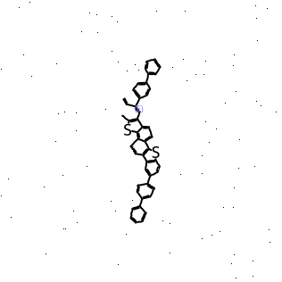 C=C/C(=C\c1c(C)sc2c1ccc1c2ccc2c3cc(-c4ccc(-c5ccccc5)cc4)ccc3sc21)c1ccc(-c2ccccc2)cc1